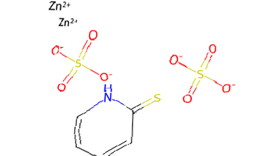 O=S(=O)([O-])[O-].O=S(=O)([O-])[O-].S=c1cccc[nH]1.[Zn+2].[Zn+2]